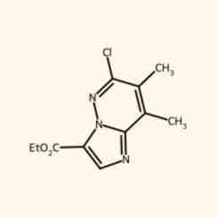 CCOC(=O)c1cnc2c(C)c(C)c(Cl)nn12